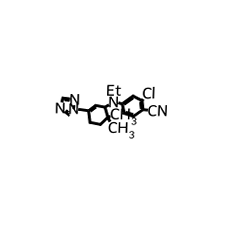 CCN(c1ccc(C#N)c(Cl)c1)C1C=C(n2cncn2)CCC1(C)C